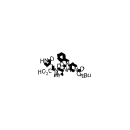 CC(C)C[C@H](NC(=O)N(Cc1ccccc1)C1CCN(C(=O)OC(C)(C)C)CC1)C(=O)N[C@@H](C[C@@H]1CCNC1=O)C(=O)O